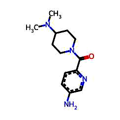 CN(C)C1CCN(C(=O)c2ccc(N)cn2)CC1